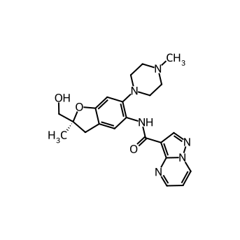 CN1CCN(c2cc3c(cc2NC(=O)c2cnn4cccnc24)C[C@@](C)(CO)O3)CC1